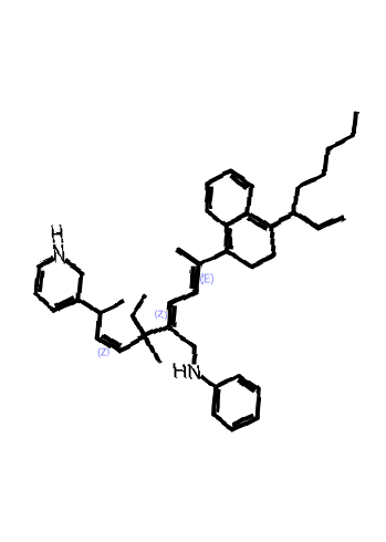 CCCCCC(CC)C1=c2ccccc2=C(/C(C)=C/C=C(\CNc2ccccc2)C(C)(/C=C\C(C)C2=CC=CNC2)CC)CC1